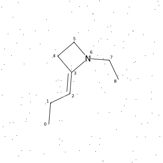 CCC=C1CCN1CC